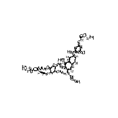 COc1cc(SC#COOS(=O)(=O)O)c(OC)cc1N=Nc1c(SOOO)cc2ccc(Nc3nc(Cl)nc(SCC(=O)O)n3)cc2c1O